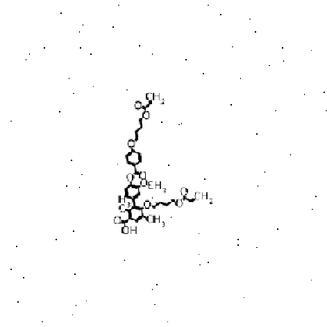 C=CC(=O)OCCCCOc1ccc(C(=O)Oc2ccc(-c3c(C)c(C(=O)O)cc(C)c3OCCCCOC(=O)C=C)cc2OC)cc1